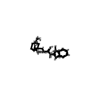 [BH3-][N+]12CCC(CC1)C(O)(CNC(=S)Nc1nc3ccccc3n1C)C2